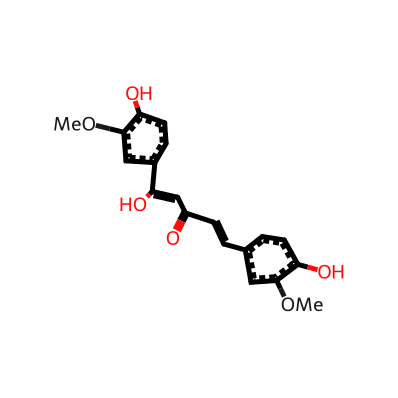 COc1cc(/C=C/C(=O)/C=C(\O)c2ccc(O)c(OC)c2)ccc1O